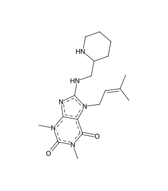 CC(C)=CCn1c(NCC2CCCCN2)nc2c1c(=O)n(C)c(=O)n2C